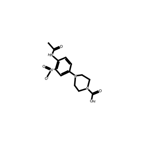 CC(=O)Nc1ccc(N2CCN(C(=O)O)CC2)cc1[N+](=O)[O-]